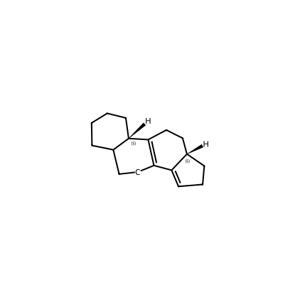 C1=C2C3=C(CC[C@@H]2CC1)[C@H]1CCCCC1CC3